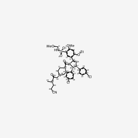 CCOc1cc(OC)c(S(=O)(=O)NCOC)cc1C1=N[C@@H](c2ccc(Cl)cc2)[C@@H](c2ccc(Cl)cc2)N1C(=O)N1CCN(CC(=O)N(C)CCC#N)CC1